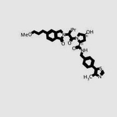 COCCCc1ccc2c(c1)CN(C(C(=O)N1C[C@H](O)C[C@H]1C(=O)NCc1ccc(-c3scnc3C)cc1)C(C)C)C2=O